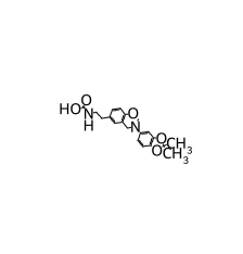 CC1(C)Oc2ccc(N3COc4ccc(CCNC(=O)O)cc4C3)cc2O1